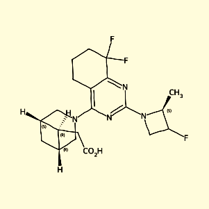 C[C@H]1C(F)CN1c1nc(N2C[C@H]3C[C@@H](C2)[C@@H]3CC(=O)O)c2c(n1)C(F)(F)CCC2